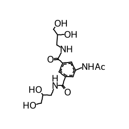 CC(=O)Nc1cc(C(=O)NCC(O)CO)cc(C(=O)NCC(O)CO)c1